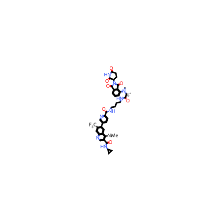 CNc1c(C(=O)NC2CC2)cnc2cc(C(F)(F)F)c(-c3ccc(C(=O)NCCCCNC(=O)[C@@H](C)N(C)c4cccc5c4C(=O)N(C4CCC(=O)NC4=O)C5=O)nc3)cc12